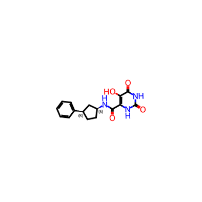 O=C(N[C@H]1CC[C@@H](c2ccccc2)C1)c1[nH]c(=O)[nH]c(=O)c1O